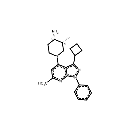 C[C@@H]1CN(c2cc(C(=O)O)nc3c2c(C2CCC2)nn3-c2ccccc2)CC[C@@H]1N